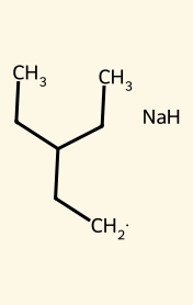 [CH2]CC(CC)CC.[NaH]